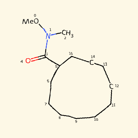 CON(C)C(=O)C1CCCCCCCCCC1